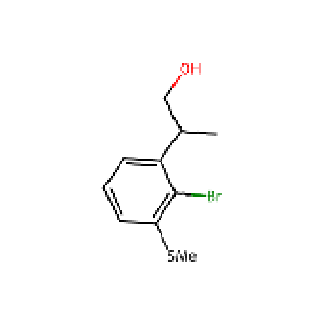 CSc1cccc([C](C)CO)c1Br